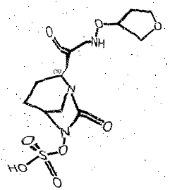 O=C(NOC1CCOC1)[C@@H]1CCC2CN1C(=O)N2OS(=O)(=O)O